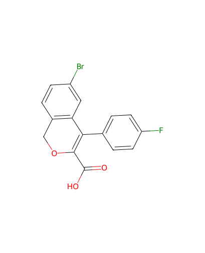 O=C(O)C1=C(c2ccc(F)cc2)c2cc(Br)ccc2CO1